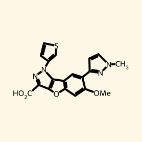 COc1cc2oc3c(C(=O)O)nn(-c4ccsc4)c3c2cc1-c1ccn(C)n1